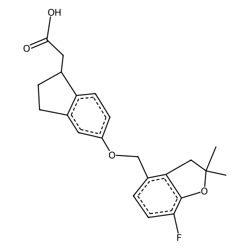 CC1(C)Cc2c(COc3ccc4c(c3)CCC4CC(=O)O)ccc(F)c2O1